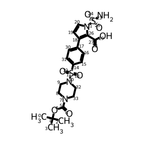 CC(C)(C)OC(=O)N1CCN(S(=O)(=O)c2ccc(-c3ccn(S(N)(=O)=O)c3C(=O)O)cc2)CC1